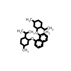 CC1CCC(C(C)C)C(Oc2cc[c]c3[c]ccc(OC4CC(C)CCC4C(C)C)c23)C1